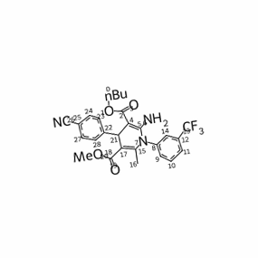 CCCCOC(=O)C1=C(N)N(c2cccc(C(F)(F)F)c2)C(C)=C(C(=O)OC)C1c1ccc(C#N)cc1